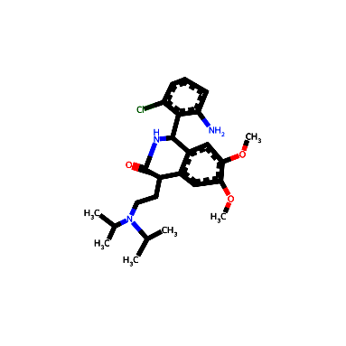 COc1cc2c(cc1OC)C(c1c(N)cccc1Cl)NC(=O)C2CCN(C(C)C)C(C)C